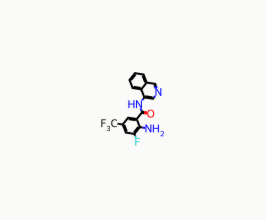 Nc1c(F)cc(C(F)(F)F)cc1C(=O)Nc1cncc2ccccc12